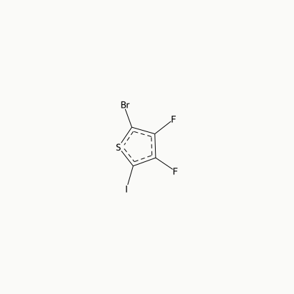 Fc1c(Br)sc(I)c1F